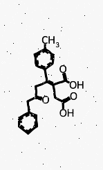 Cc1ccc(C(CC(=O)Cc2ccccc2)=C(CC(=O)O)C(=O)O)cc1